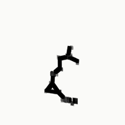 CN(C)CCOC1CC1C(=O)O